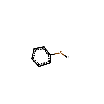 [C]Sc1ccccc1